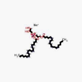 CCCCC/C=C\C/C=C\C/C=C\C/C=C\CCCC(=O)OC[C@H](COP(=O)([O-])OCC(O)CO)OC(=O)CCC/C=C\C/C=C\C/C=C\C/C=C\CCCCC.[Na+]